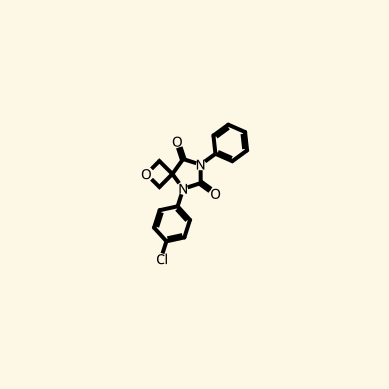 O=C1N(c2ccccc2)C(=O)C2(COC2)N1c1ccc(Cl)cc1